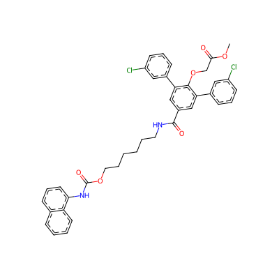 COC(=O)COc1c(-c2cccc(Cl)c2)cc(C(=O)NCCCCCCOC(=O)Nc2cccc3ccccc23)cc1-c1cccc(Cl)c1